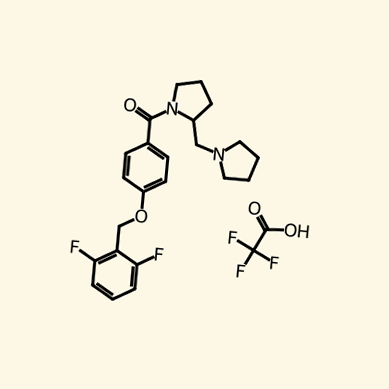 O=C(O)C(F)(F)F.O=C(c1ccc(OCc2c(F)cccc2F)cc1)N1CCCC1CN1CCCC1